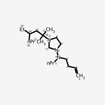 C=CCCN(CCC)N1CCN(C(C)(C)CC(CC)CCC)C1